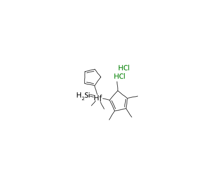 CC1=C(C)C(C)[C]([Hf]([CH3])([CH3])(=[SiH2])[C]2=CC=CC2)=C1C.Cl.Cl